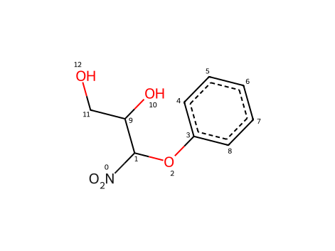 O=[N+]([O-])C(Oc1ccccc1)C(O)CO